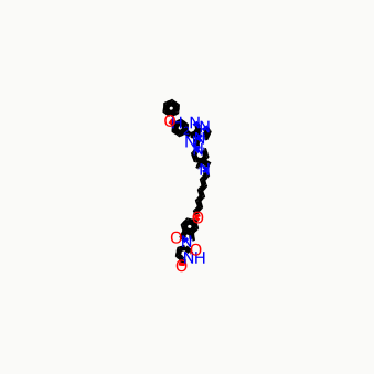 Nc1nccn2c(N3CCC4(CC3)CN(CCCCCCCCOc3ccc5c(c3)CN(C3CCC(=O)NC3=O)C5=O)C4)nc(-c3ccc(Oc4ccccc4)cc3)c12